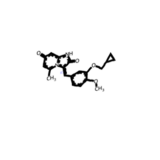 COc1ccc(/C=c2\c(=O)[nH]c3cc(=O)cc(C)n23)cc1OCC1CC1